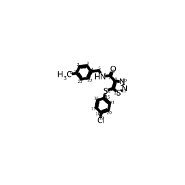 Cc1ccc(CNC(=O)c2nnsc2Sc2ccc(Cl)cc2)cc1